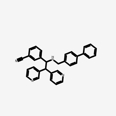 N#Cc1cccc(C(NCc2ccc(-c3ccccc3)cc2)C(c2cccnc2)c2cccnc2)c1